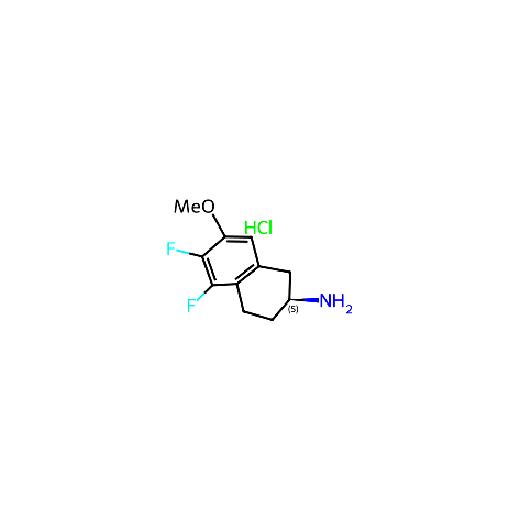 COc1cc2c(c(F)c1F)CC[C@H](N)C2.Cl